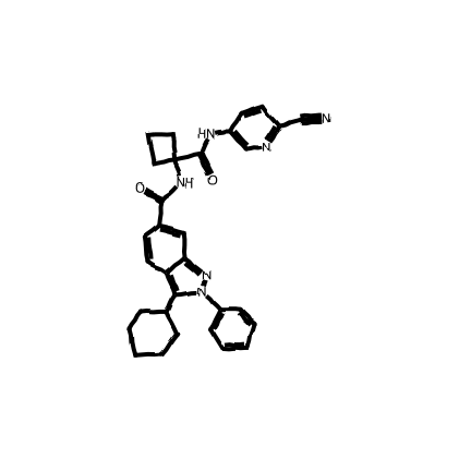 N#Cc1ccc(NC(=O)C2(NC(=O)c3ccc4c(C5CCCCC5)n(-c5ccccc5)nc4c3)CCC2)cn1